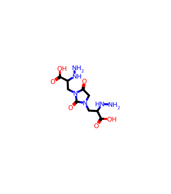 NNC(CN1CC(=O)N(CC(NN)C(=O)O)C1=O)C(=O)O